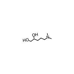 CN(C)CCC[C@H](O)CO